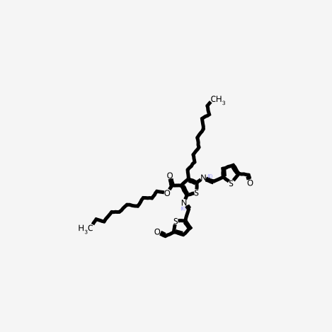 CCCCCCCCCCOC(=O)c1c(/N=C/c2ccc(C=O)s2)sc(/N=C/c2ccc(C=O)s2)c1CCCCCCCCCC